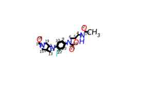 CC(=O)NCC1CN(c2ccc(N3CC4CN(C=O)CC43)c(F)c2)C(=O)O1